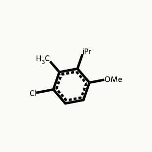 COc1ccc(Cl)c(C)c1C(C)C